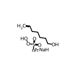 C=CCCCCCO.CCCS(=O)(=O)OO.[NaH]